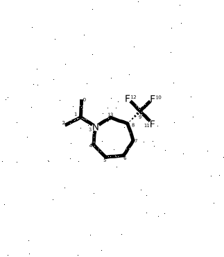 CC(C)N1CCCC[C@@H](C(F)(F)F)C1